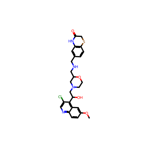 COc1ccc2ncc(Cl)c(C(O)CN3CCOC(CNCc4ccc5c(c4)NC(=O)CS5)C3)c2c1